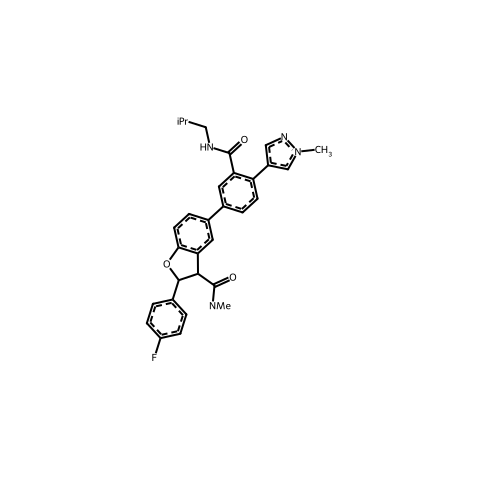 CNC(=O)C1c2cc(-c3ccc(-c4cnn(C)c4)c(C(=O)NCC(C)C)c3)ccc2OC1c1ccc(F)cc1